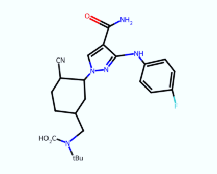 CC(C)(C)N(CC1CCC(C#N)C(n2cc(C(N)=O)c(Nc3ccc(F)cc3)n2)C1)C(=O)O